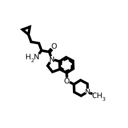 CN1CCC(Oc2cccc3c2CCN3C(=O)C(N)CCC2CC2)CC1